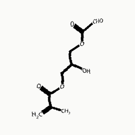 C=C(C)C(=O)OCC(O)COC(=O)C=O